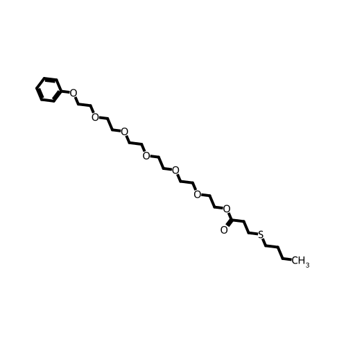 CCCCSCCC(=O)OCCOCCOCCOCCOCCOCCOc1ccccc1